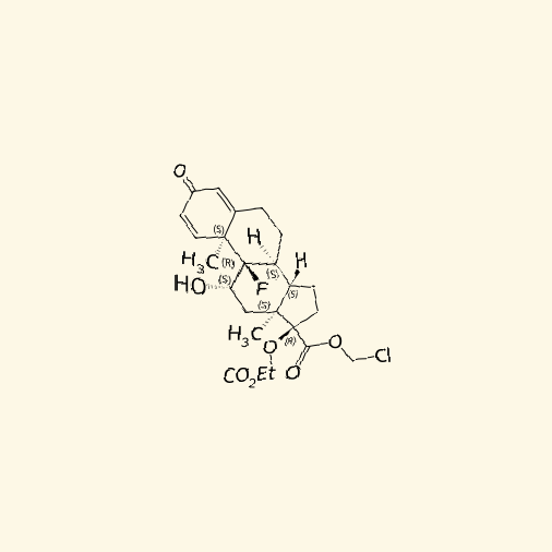 CCOC(=O)O[C@]1(C(=O)OCCl)CC[C@H]2[C@@H]3CCC4=CC(=O)C=C[C@]4(C)[C@@]3(F)[C@@H](O)C[C@@]21C